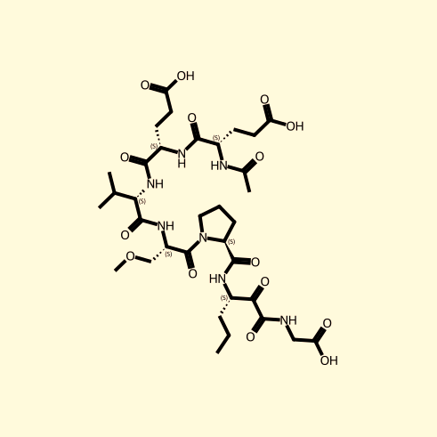 CCC[C@H](NC(=O)[C@@H]1CCCN1C(=O)[C@H](COC)NC(=O)[C@@H](NC(=O)[C@H](CCC(=O)O)NC(=O)[C@H](CCC(=O)O)NC(C)=O)C(C)C)C(=O)C(=O)NCC(=O)O